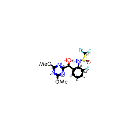 COc1nc(OC)nc(C(O)c2cccc(F)c2N[S+]([O-])C(F)F)n1